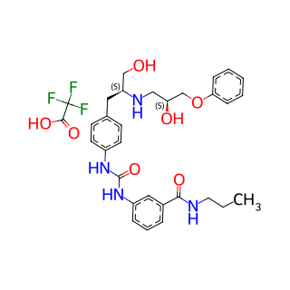 CCCNC(=O)c1cccc(NC(=O)Nc2ccc(C[C@@H](CO)NC[C@H](O)COc3ccccc3)cc2)c1.O=C(O)C(F)(F)F